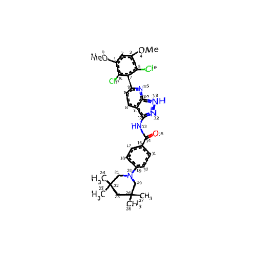 COc1cc(OC)c(Cl)c(-c2ccc3c(NC(=O)c4ccc(N5CC(C)(C)CC(C)(C)C5)cc4)n[nH]c3n2)c1Cl